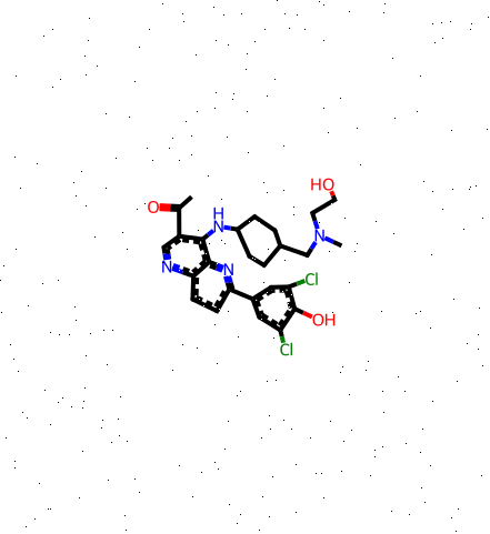 CC(=O)c1cnc2ccc(-c3cc(Cl)c(O)c(Cl)c3)nc2c1NC1CCC(CN(C)CCO)CC1